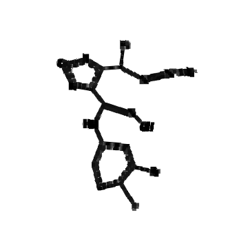 CCC(N=[N+]=[N-])c1nonc1C(=NO)Nc1ccc(F)c(Br)c1